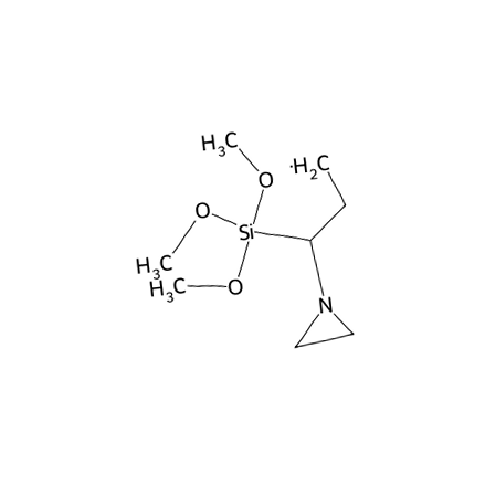 [CH2]CC(N1CC1)[Si](OC)(OC)OC